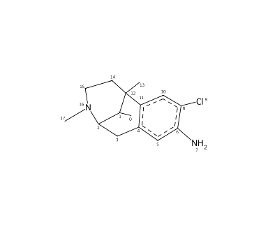 CC1C2Cc3cc(N)c(Cl)cc3C1(C)CCN2C